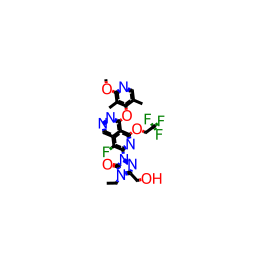 CCn1c(CO)nn(-c2nc(OCC(F)(F)F)c3c(Oc4c(C)cnc(OC)c4C)nncc3c2F)c1=O